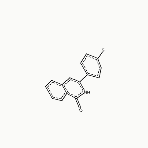 O=c1[nH]c(-c2ccc(F)cc2)cc2ccccc12